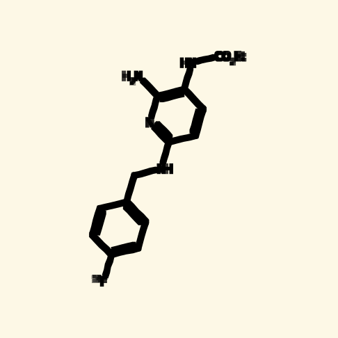 CCOC(=O)Nc1ccc(NCc2ccc([18F])cc2)nc1N